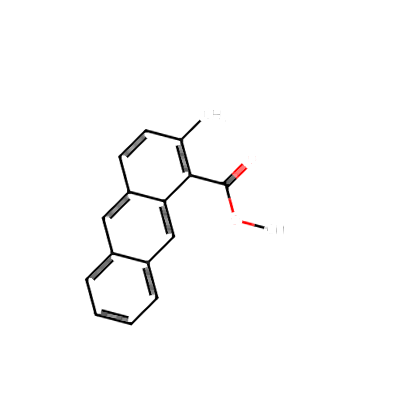 COC(=O)c1c(C)ccc2cc3ccccc3cc12